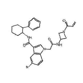 C=CC(=O)N1CC(NC(=O)Cn2cc(C(=O)NC3CCCCC3c3ccccc3)c3cc(Br)ccc32)C1